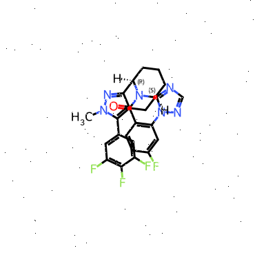 Cn1nc2c(c1-c1cc(F)c(F)c(F)c1)C[C@@H]1CCC[C@H]2N1C(=O)c1ccc(F)cc1-n1cncn1